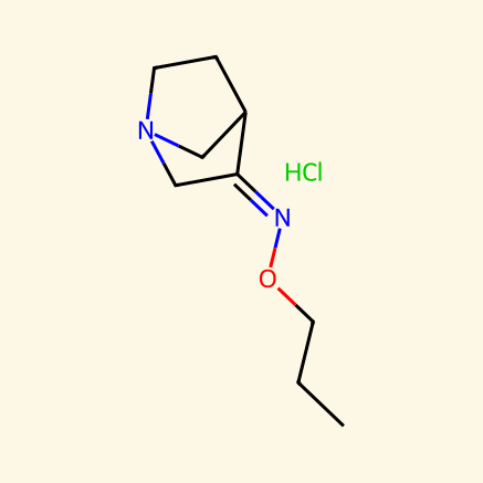 CCCON=C1CN2CCC1C2.Cl